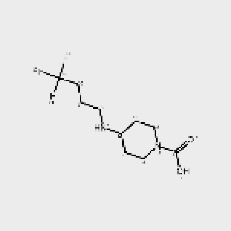 O=C(O)N1CCC(NCCCC(F)(F)F)CC1